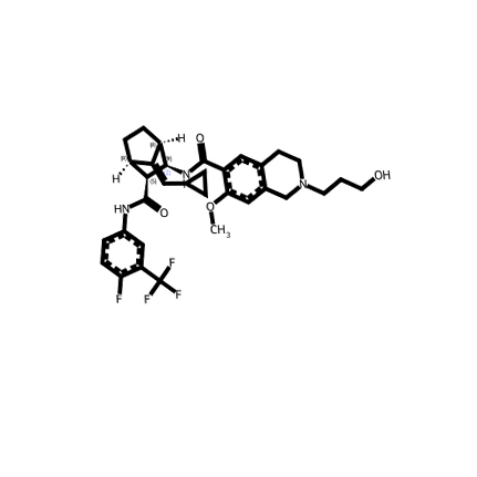 COc1cc2c(cc1C(=O)N[C@H]1[C@@H](C(=O)Nc3ccc(F)c(C(F)(F)F)c3)[C@H]3CC[C@@H]1/C3=C\C1CC1)CCN(CCCO)C2